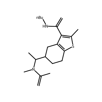 C=C(NCCCC)c1c(C)sc2c1CC(C(C)N(C)C(=C)C)CC2